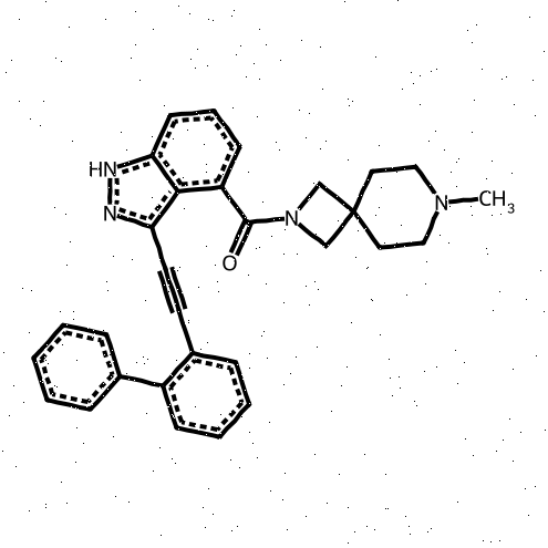 CN1CCC2(CC1)CN(C(=O)c1cccc3[nH]nc(C#Cc4ccccc4-c4ccccc4)c13)C2